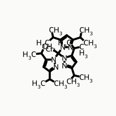 CC(C)c1cc(C(C)C)n([C]([Cr])(n2nc(C(C)C)cc2C(C)C)n2nc(C(C)C)cc2C(C)C)n1